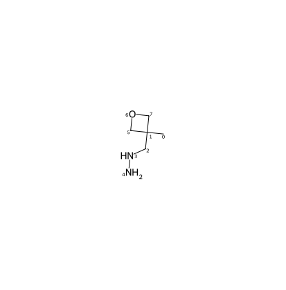 CC1(CNN)COC1